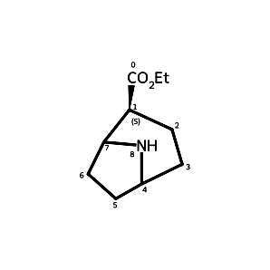 CCOC(=O)[C@H]1CCC2CCC1N2